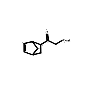 CCCC(C)CC(=O)C1CC2C=CC1C2